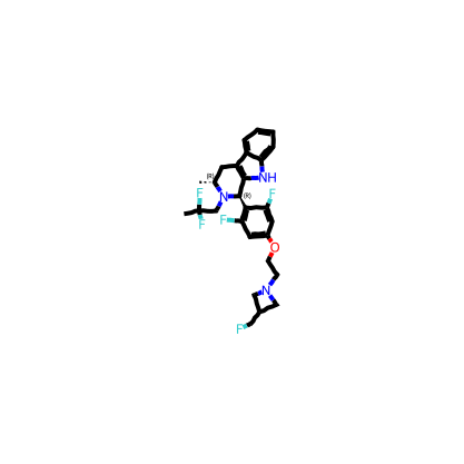 C[C@@H]1Cc2c([nH]c3ccccc23)[C@@H](c2c(F)cc(OCCN3CC(CF)C3)cc2F)N1CC(C)(F)F